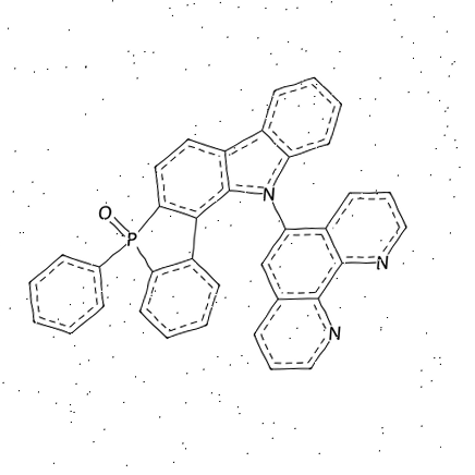 O=P1(c2ccccc2)c2ccccc2-c2c1ccc1c3ccccc3n(-c3cc4cccnc4c4ncccc34)c21